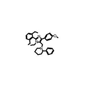 CCc1cccc(CC)c1-c1nc(-c2ccc(OC)cc2)c(CN2CCCCC2c2ccccc2)n1CC